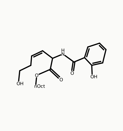 CCCCCCCCOC(=O)C(/C=C\CCO)NC(=O)c1ccccc1O